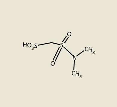 CN(C)S(=O)(=O)CS(=O)(=O)O